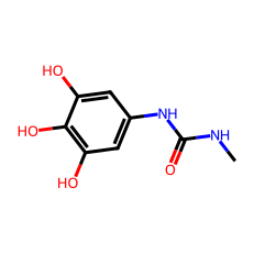 CNC(=O)Nc1cc(O)c(O)c(O)c1